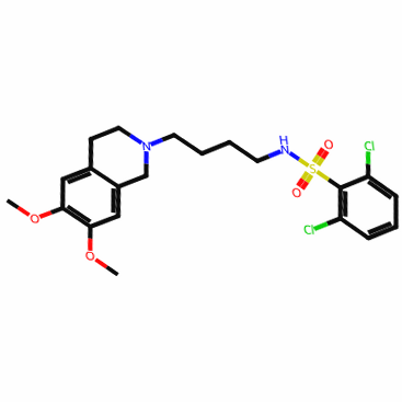 COc1cc2c(cc1OC)CN(CCCCNS(=O)(=O)c1c(Cl)cccc1Cl)CC2